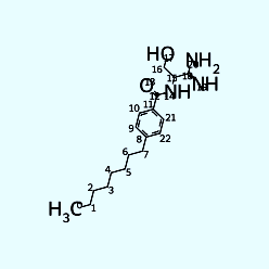 CCCCCCCCc1ccc(C(=O)NC(CO)C(=N)N)cc1